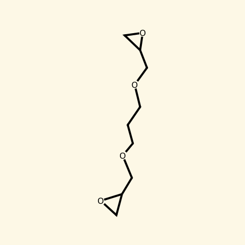 C(COCC1CO1)COCC1CO1